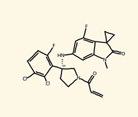 C=CC(=O)N1CC[C@@](Nc2cc(F)c3c(c2)N(C)C(=O)C32CC2)(c2c(F)ccc(Cl)c2Cl)C1